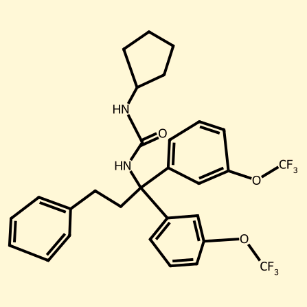 O=C(NC1CCCC1)NC(CCc1ccccc1)(c1cccc(OC(F)(F)F)c1)c1cccc(OC(F)(F)F)c1